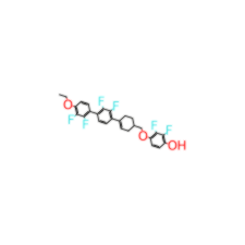 CCOc1ccc(-c2ccc(C3=CCC(COc4ccc(O)c(F)c4F)CC3)c(F)c2F)c(F)c1F